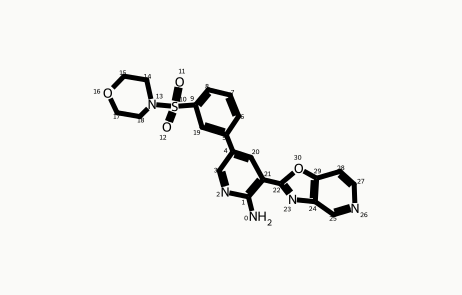 Nc1ncc(-c2cccc(S(=O)(=O)N3CCOCC3)c2)cc1-c1nc2cnccc2o1